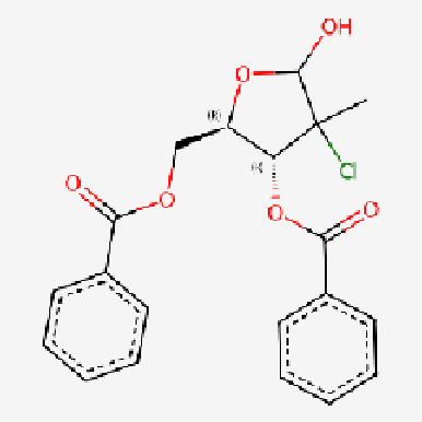 CC1(Cl)C(O)O[C@H](COC(=O)c2ccccc2)[C@H]1OC(=O)c1ccccc1